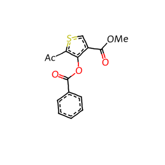 COC(=O)c1csc(C(C)=O)c1OC(=O)c1ccccc1